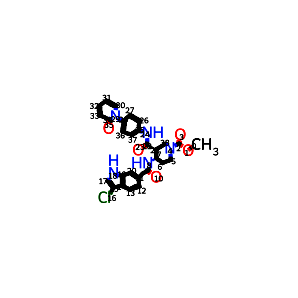 COC(=O)N1CC[C@@H](NC(=O)c2ccc3c(Cl)c[nH]c3c2)[C@@H](C(=O)Nc2ccc(-n3ccccc3=O)cc2)C1